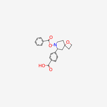 O=C(O)c1ccc(C2CC3(CCO3)CCN2OC(=O)c2ccccc2)cc1